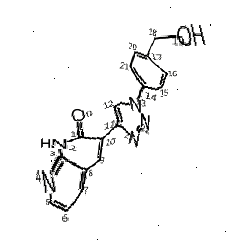 O=c1[nH]c2ncccc2cc1-c1cn(-c2ccc(CO)cc2)nn1